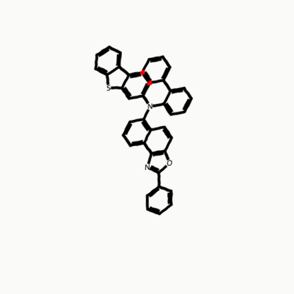 c1ccc(-c2nc3c(ccc4c(N(c5ccc6c(c5)sc5ccccc56)c5ccccc5-c5ccccc5)cccc43)o2)cc1